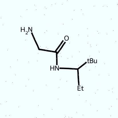 CCC(NC(=O)CN)C(C)(C)C